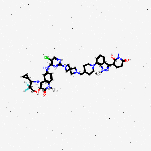 Cn1nc(C2CCC(=O)NC2=O)c2cccc(N3CCC(CN4CC5(C4)CN(c4ncc(Cl)c(Nc6ccc7c(c6)c6c(c(=O)n7C)OCC(F)(F)C(C7CC7)N6)n4)C5)CC3)c21